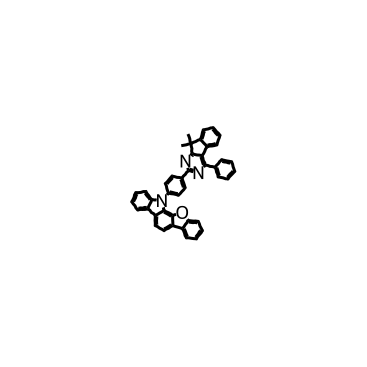 CC1(C)c2ccccc2-c2c(-c3ccccc3)nc(-c3ccc(-n4c5ccccc5c5ccc6c7ccccc7oc6c54)cc3)nc21